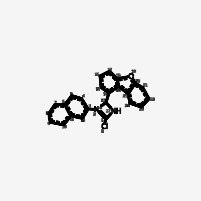 ClC1=[N+](c2ccc3ccccc3c2)C(c2cccc3oc4ccccc4c23)N1